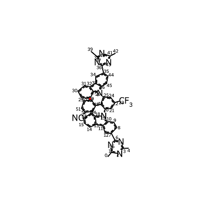 Cc1nc(C)nc(-c2ccc3c(c2)c2ccccc2n3-c2cc(C(F)(F)F)cc(-n3c4ccccc4c4cc(-c5nc(C)nc(C)n5)ccc43)c2-c2cccc(C#N)c2)n1